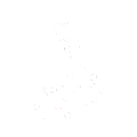 CNC[C@H]1CNC[C@H]1CN(C(=O)c1ccc(C)c(OCCCOC)c1)C(C)C.COCCCOc1c(C)ccc(C(=O)NC(C)C)c1C[C@@H]1CNC[C@H]1CN(C(=O)[C@@H](OC)c1ccccc1)C1CC1.COCCCOc1c(C)ccc(C(=O)NC[C@@H]2CNC[C@H]2CN(C)C(=O)CC2CCOCC2)c1C(C)C.O=C(O)[C@@H]1COc2ccccc2O1